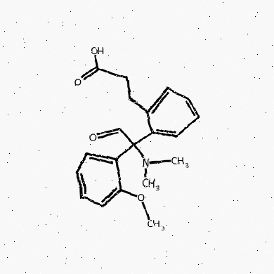 COc1ccccc1C(C=O)(c1ccccc1CCC(=O)O)N(C)C